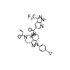 C=CC(=O)N1CCc2nn(-c3ccc(C4CC4)cc3)c3c2[C@H](C1)N(C(=O)c1cnc2c(c1)c(C(F)(F)F)nn2C)CC3